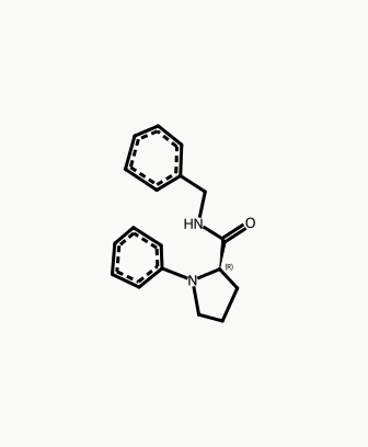 O=C(NCc1ccccc1)[C@H]1CCCN1c1ccccc1